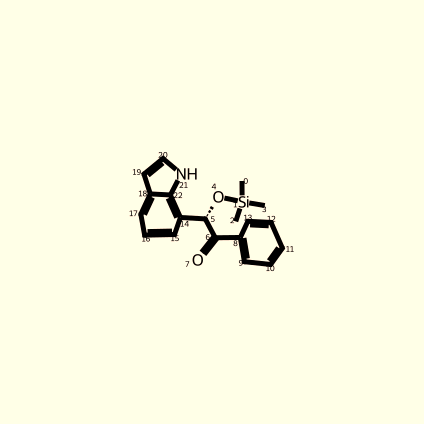 C[Si](C)(C)O[C@H](C(=O)c1ccccc1)c1cccc2cc[nH]c12